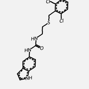 O=C(NCCSCc1c(Cl)cccc1Cl)Nc1ccc2[nH]ccc2c1